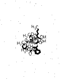 CCCCCC(NC(=O)[C@H](Cc1cn(C(=O)OC)c2ccccc12)NC(=O)[C@@H](CC(C)(C)C)NC(=O)N1[C@H](C)CCC[C@@H]1C)C(O)O